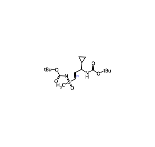 CC(C)(C)OC(=O)N=S(C)(=O)/C=C/C(NC(=O)OC(C)(C)C)C1CC1